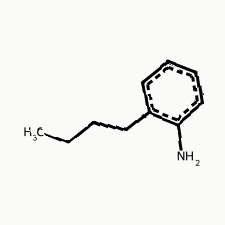 CCCCc1ccccc1N